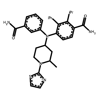 CC(C)c1c(C(N)=O)ccc(N(c2cccc(C(N)=O)c2)C2CCN(c3nccs3)C(C)C2)c1C(C)C